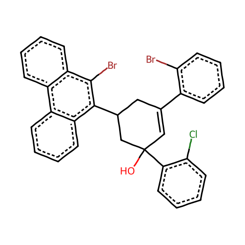 OC1(c2ccccc2Cl)C=C(c2ccccc2Br)CC(c2c(Br)c3ccccc3c3ccccc23)C1